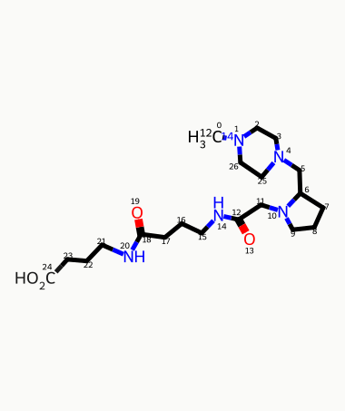 [12CH3][14N]1CCN(CC2CCCN2CC(=O)NCCCC(=O)NCCCC(=O)O)CC1